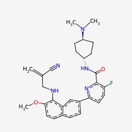 C=C(C#N)CNc1c(OC)ccc2ccc(-c3ccc(F)c(C(=O)N[C@H]4CC[C@H](N(C)C)CC4)n3)cc12